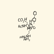 CC(=O)N[C@H](CCC(=O)O)C(=O)N[C@H](Cc1ccc(-c2ccccc2)cc1)C(=O)NCCCCNC(=N)N